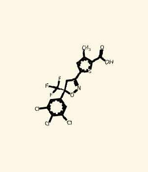 Cc1cc(C2=NO[C@@](c3cc(Cl)c(Cl)c(Cl)c3)(C(F)(F)F)C2)sc1C(=O)O